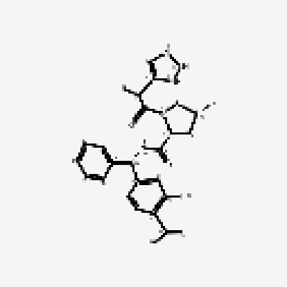 CC(C(=O)N1C[C@H](F)C[C@H]1C(=O)N[C@@H](c1ccccc1)c1ccc(C(C)C)c(F)c1)C1=CNNN1